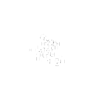 CC(C)(C)[C@H](NC(=O)N1CCCC(F)(F)C1)C(=O)N1C[C@H]2[C@@H]([C@H]1C(=O)N[C@H](C#N)C[C@@H]1CC3(CC3)NC1=O)C2(C)C